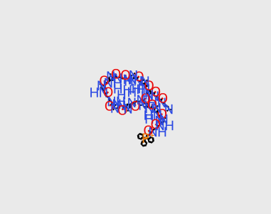 CN(C)CCCNC(=O)CCNC(=O)c1cc(NC(=O)c2cc(NC(=O)c3nc(NC(=O)CCNC(=O)c4cc(NC(=O)c5cc(NC(=O)CCCNC(=O)c6nc(NC(=O)c7cc(NC(=O)CCNC(=O)c8cc(NC(=O)c9cc(NC(=O)c%10nc(NC(=O)CCNC(=O)CC[P+](c%11ccccc%11)(c%11ccccc%11)c%11ccccc%11)cn%10C)cn9C)cn8C)cn7C)cn6C)cn5C)cn4C)cn3C)cn2C)cn1C